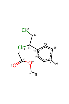 CCOC(C)=O.Cc1ccc(C(Cl)CCl)cc1